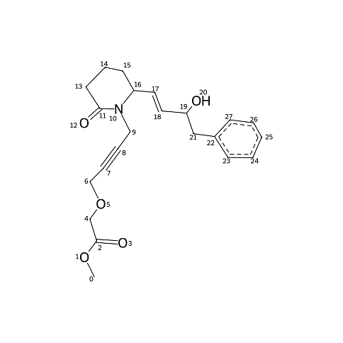 COC(=O)COCC#CCN1C(=O)CCCC1C=CC(O)Cc1ccccc1